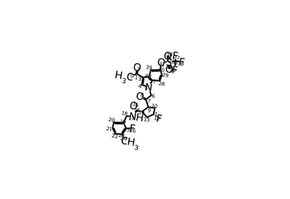 CC(=O)c1cn(CC(=O)C2C[C@H](F)C[C@H]2C(=O)NCc2cccc(C)c2F)c2ccc(OS(=O)(=O)C(F)(F)F)cc12